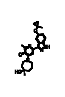 Cn1nc(-c2n[nH]c3ccc(OC4(C)CC4)cc23)cc(N2CCC[C@](C)(O)CC2)c1=O